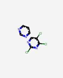 Clc1ncc(Cl)c(Cl)n1.c1cncnc1